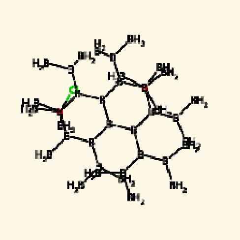 BB(B)B(B(B)B)B(B(B(B)B)B(B)B)B(B(B(B)B)B(B)B(B)Cl)B(B(B(B)B)B(B)B)B(B(B)B)B(B)B